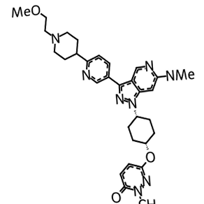 CNc1cc2c(cn1)c(-c1ccc(C3CCN(CCOC)CC3)nc1)nn2[C@H]1CC[C@@H](Oc2ccc(=O)n(C)n2)CC1